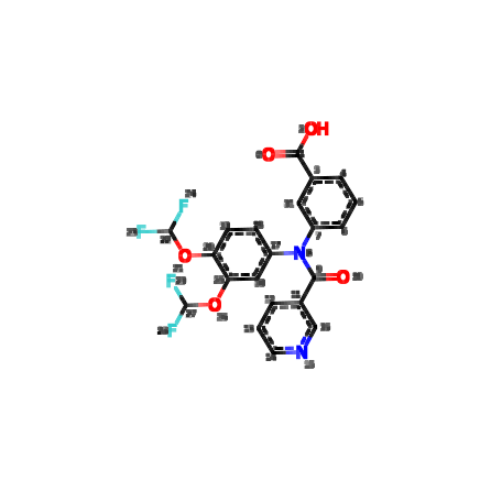 O=C(O)c1cccc(N(C(=O)c2cccnc2)c2ccc(OC(F)F)c(OC(F)F)c2)c1